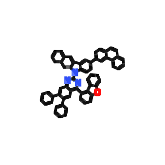 c1ccc(-c2cc3nc(-n4c5ccc(-c6ccc7ccc8ccccc8c7c6)cc5c5cc6ccccc6cc54)nc(-c4cccc5oc6ccccc6c45)c3cc2-c2ccccc2)cc1